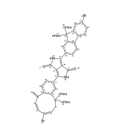 C=C1/C=C\C(Br)=C/CC(CCCCCC)(CCCCCC)c2cc(C3=C4C(=O)NC(c5ccc6c(c5)C(CCCCCC)(CCCCCC)c5cc(Br)ccc5-6)=C4C(=O)N3)ccc21